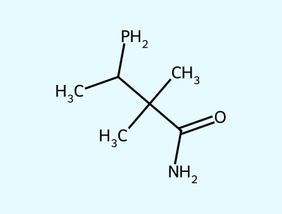 CC(P)C(C)(C)C(N)=O